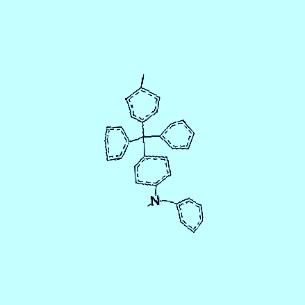 Cc1ccc(C(c2ccccc2)(c2ccccc2)c2ccc(N(C)c3ccccc3)cc2)cc1